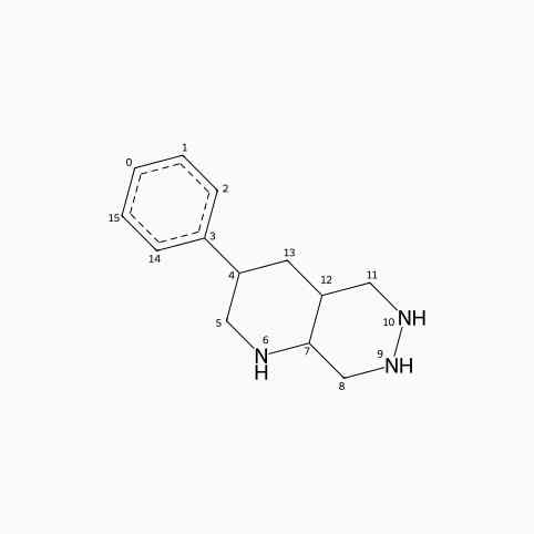 c1ccc(C2CNC3CNNCC3C2)cc1